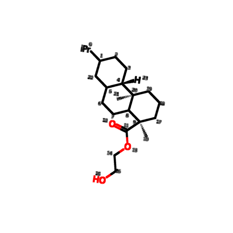 CC(C)C1CC[C@H]2C(CCC3[C@](C)(C(=O)OCCO)CCC[C@@]32C)C1